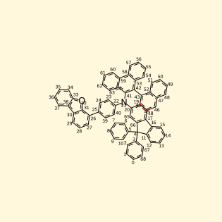 c1ccc(C2(c3ccccc3)c3ccccc3-c3ccc(N(c4ccc(-c5cccc6c5oc5ccccc56)cc4)c4c(-c5cccc6ccccc56)c5ccccc5c5ccccc45)cc32)cc1